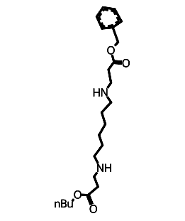 CCCCOC(=O)CCNCCCCCCNCCC(=O)OCc1ccccc1